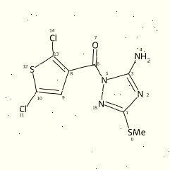 CSc1nc(N)n(C(=O)c2cc(Cl)sc2Cl)n1